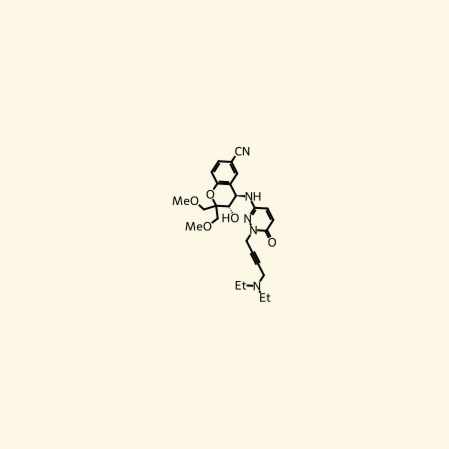 CCN(CC)CC#CCn1nc(N[C@@H]2c3cc(C#N)ccc3OC(COC)(COC)[C@H]2O)ccc1=O